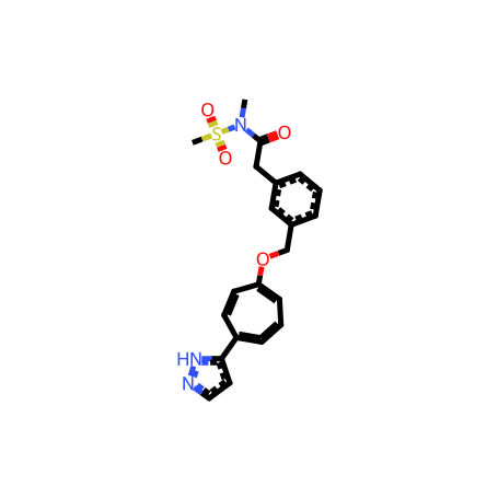 CN(C(=O)Cc1cccc(COC2=CC=C=C(c3ccn[nH]3)C=C2)c1)S(C)(=O)=O